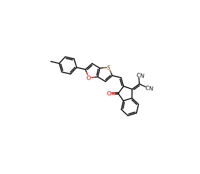 Cc1ccc(-c2cc3sc(/C=C4\C(=O)c5ccccc5C4=C(C#N)C#N)cc3o2)cc1